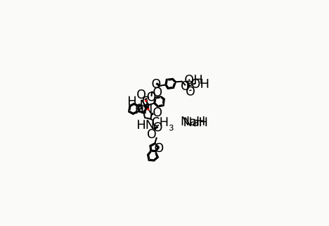 CC(NC(=O)C(C)(Cc1cn(C(=O)OCOC(=O)c2ccc(COP(=O)(O)O)cc2)c2ccccc12)NC(=O)OCc1cc2ccccc2o1)c1ccccc1.[NaH].[NaH]